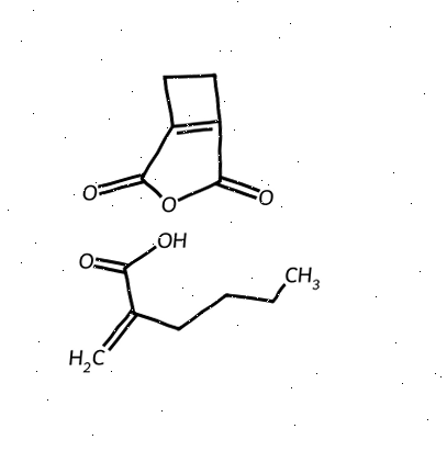 C=C(CCCC)C(=O)O.O=C1OC(=O)C2=C1CC2